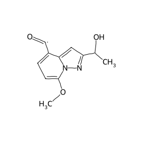 COc1ccc([C]=O)c2cc(C(C)O)nn12